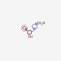 CC1(C)OB(c2cc(O)cc(CN3CCCN(C(=O)O)CC3)c2)OC1(C)C